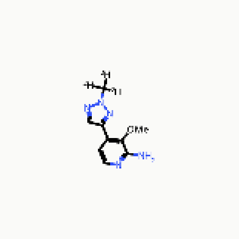 [2H]C([2H])([2H])n1ncc(-c2ccnc(N)c2OC)n1